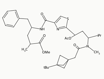 COC(=O)C(C)CC(Cc1ccccc1)NC(=O)c1csc(C(CC(C(C)C)N(C)C(=O)CC23CC(C(C)(C)C)(C2)C3)OC(C)=O)n1